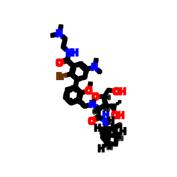 COc1c(CN2O[C@@H](CO)[C@@H]([C@H](C)O)[C@H]2C(=O)N[C@H]2C[C@H]3C[C@@H]([C@@H]2C)C3(C)C)cccc1C1CC(N(C)C)=CC(C(=O)NCCN(C)C)=C1Br